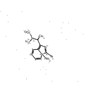 CC(C1=C2C=NC=C[N+]2(N)C(Br)=N1)N(C)C(=O)[O-]